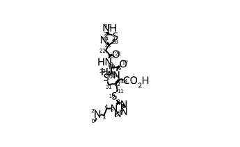 CN(C)CCn1nnnc1SCC1=C(C(=O)O)N2C(=O)[C@@H](NC(=O)CC3=NC(=N)SC3)[C@@H]2SC1